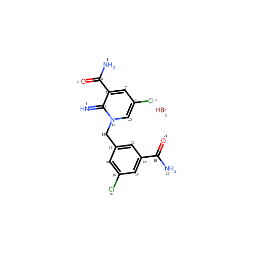 Br.N=c1c(C(N)=O)cc(Cl)cn1Cc1cc(Cl)cc(C(N)=O)c1